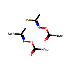 CNC(=O)O/N=C(\C)S.CNC(=O)O/N=C(\C)SC